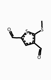 CSc1sc(C=O)cc1C=O